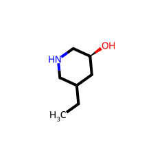 CCC1CNC[C@@H](O)C1